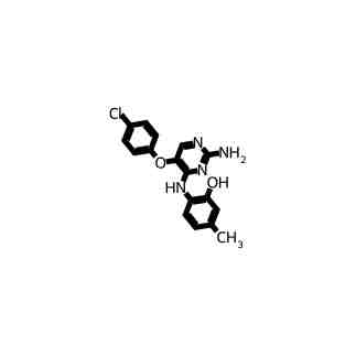 Cc1ccc(Nc2nc(N)ncc2Oc2ccc(Cl)cc2)c(O)c1